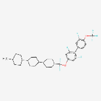 CC1CCC(C2CCC(C3CCC(C(F)(F)Oc4cc(F)c(-c5ccc(OC(F)(F)F)c(F)c5)c(F)c4)CC3)CC2)CC1